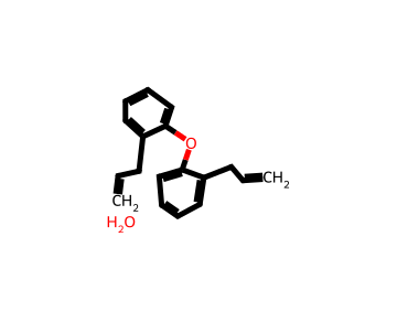 C=CCc1ccccc1Oc1ccccc1CC=C.O